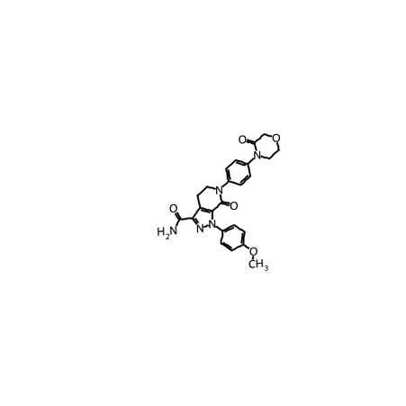 COc1ccc(-n2nc(C(N)=O)c3c2C(=O)N(c2ccc(N4CCOCC4=O)cc2)CC3)cc1